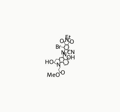 CCN1C(=O)c2cc(C#N)c(/N=N/c3cc4c(c5cccc(O)c35)N(CCC(=O)OC)CC(O)C4)c(Br)c2C1=O